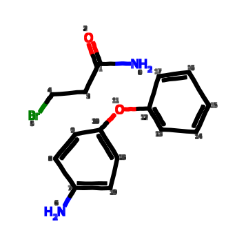 NC(=O)CCBr.Nc1ccc(Oc2ccccc2)cc1